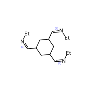 CC/N=C\C1CC(/C=N\CC)CC(/C=N\CC)C1